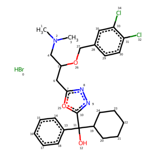 Br.CN(C)CC(Cc1nnc(C(O)(c2ccccc2)C2CCCCC2)o1)OCc1ccc(Cl)c(Cl)c1